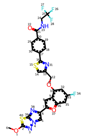 COc1nn2cc(-c3cc4c(OCc5csc(-c6ccc(C(=O)NCC(F)(F)F)cc6)n5)cc(F)cc4o3)nc2s1